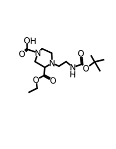 CCOC(=O)C1CN(C(=O)O)CCN1CCNC(=O)OC(C)(C)C